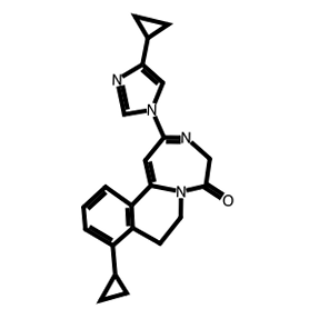 O=C1CN=C(n2cnc(C3CC3)c2)C=C2c3cccc(C4CC4)c3CCN12